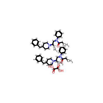 CCC(=O)N(CC(C)N1CCC(Cc2ccccc2)CC1)c1ccccc1.CCC(=O)N(CC(C)N1CCC(Cc2ccccc2)CC1)c1ccccc1.O=C(O)C(=O)O